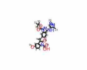 COc1ccc2c(c1)[C@]1(C[C@H]1c1ccc3c(Nc4cn(C)nc4C)nn(C(=O)OC(C)(C)C)c3c1)C(=O)N2C(=O)O